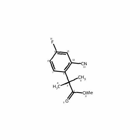 COC(=O)C(C)(C)c1ccc(F)cc1C#N